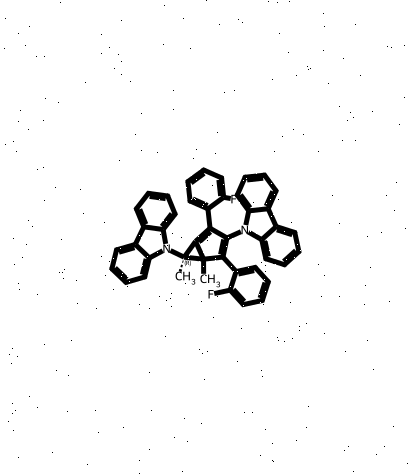 CC12C(c3ccccc3F)=C(n3c4ccccc4c4ccccc43)C(c3ccccc3F)=C1[C@]2(C)n1c2ccccc2c2ccccc21